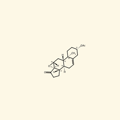 CC(=O)O[C@H]1CC[C@@]2(C)C(=CC[C@H]3[C@@H]4CCC(=O)[C@]45O[C@@H]5C[C@@H]32)C1